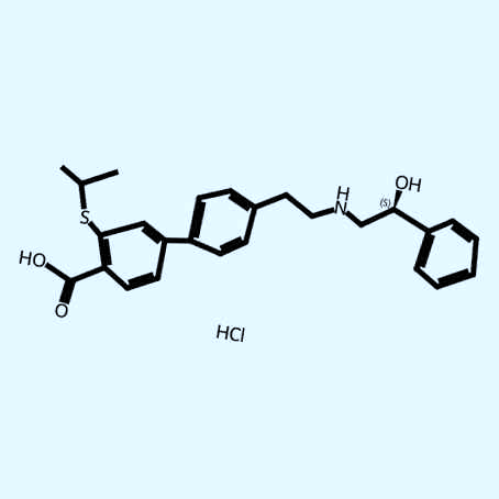 CC(C)Sc1cc(-c2ccc(CCNC[C@@H](O)c3ccccc3)cc2)ccc1C(=O)O.Cl